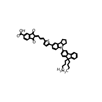 CCCCC1(CCCC)c2ccccc2-c2cc(N3c4ccc(-c5ccc(/C=C/C=C6\C(=O)c7ccc(C(=O)O)cc7C6=O)s5)cc4C4CCCC43)ccc21